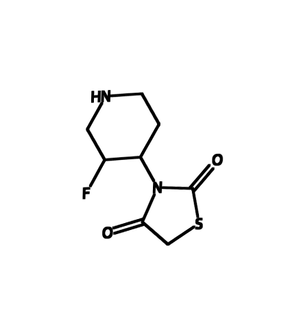 O=C1CSC(=O)N1C1CCNCC1F